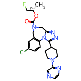 C[C@@H](CF)OC(=O)N1Cc2cc(Cl)ccc2-n2c(nnc2C2CCN(c3cnccn3)CC2)C1